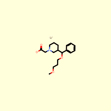 COCCCOC(c1ccccc1)C1CCCN(CC(=O)[O-])C1.[Li+]